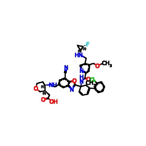 COCc1cc(C(=O)NC2(c3nc4cc(CN[C@@H]5CCOC[C@@H]5CC(=O)O)cc(C#N)c4o3)C=CC=C(c3ccccc3Cl)C2C)ncc1CN[C@@H]1C[C@@H]1F